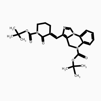 CC(C)(C)OC(=O)N1CCCC(=Cc2ncn3c2CN(C(=O)OC(C)(C)C)c2ccccc2-3)C1=O